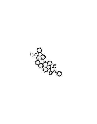 CC1(C)c2ccccc2-c2ccc(N(c3cccc4c3-c3ccccc3C43c4ccccc4N(c4ccccc4)c4ccccc43)c3cccc4ccccc34)cc21